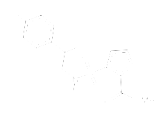 COC(=O)c1sccc1S(=O)(=O)N(C)CC(O)c1ccc(F)cc1